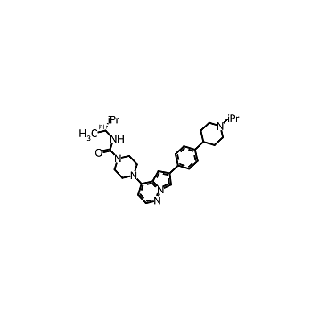 CC(C)[C@@H](C)NC(=O)N1CCN(c2ccnn3cc(-c4ccc(C5CCN(C(C)C)CC5)cc4)cc23)CC1